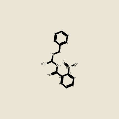 CC(OCc1ccccc1)OC(=O)c1ccccc1[N+](=O)[O-]